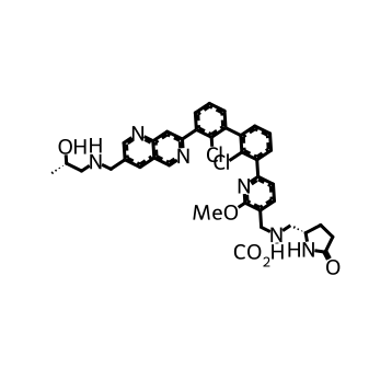 COc1nc(-c2cccc(-c3cccc(-c4cc5ncc(CNC[C@H](C)O)cc5cn4)c3Cl)c2Cl)ccc1CN(C[C@@H]1CCC(=O)N1)C(=O)O